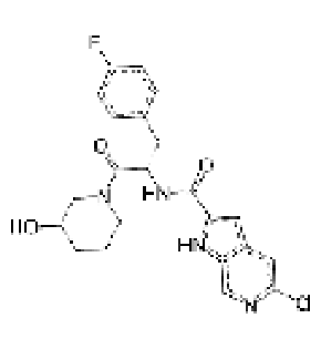 O=C(N[C@@H](Cc1ccc(F)cc1)C(=O)N1CCC[C@@H](O)C1)c1cc2cc(Cl)ncc2[nH]1